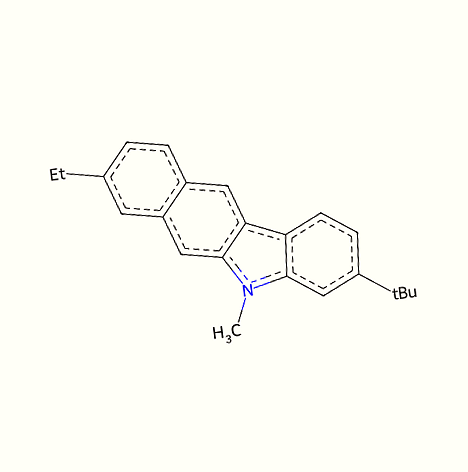 CCc1ccc2cc3c4ccc(C(C)(C)C)cc4n(C)c3cc2c1